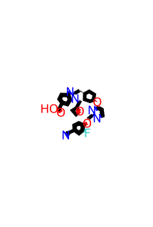 N#Cc1ccc(OCc2nccc(O[C@H]3CC[C@@H](Cc4nc5ccc(C(=O)O)cc5n4CC4CCO4)CC3)n2)c(F)c1